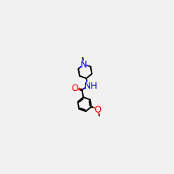 COc1cccc(C(=O)NC2CCN(C)CC2)c1